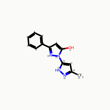 Oc1cc(-c2ccccc2)nn1-c1cc(C(F)(F)F)n[nH]1